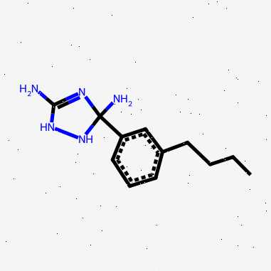 CCCCc1cccc(C2(N)N=C(N)NN2)c1